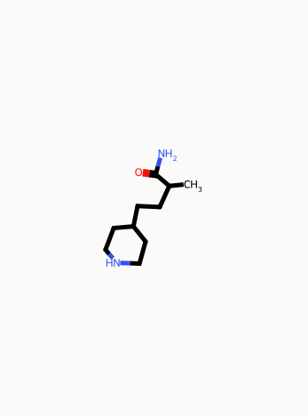 CC(CCC1CCNCC1)C(N)=O